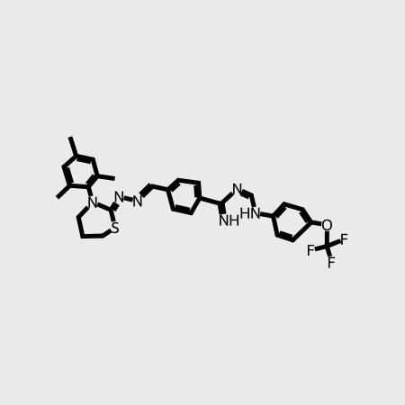 Cc1cc(C)c(N2CCCS/C2=N\N=C\c2ccc(C(=N)/N=C\Nc3ccc(OC(F)(F)F)cc3)cc2)c(C)c1